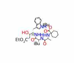 CCOC(=O)CC(O)[C@H](Cc1c[nH]c2ccccc12)NC(=O)C(NC(=O)C(C)NC1(C(=O)OC(C)(C)C)CCCCC1)C(C)CC